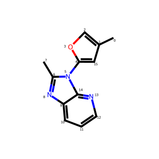 Cc1coc(-n2c(C)nc3cccnc32)c1